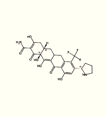 NC(=O)C1=C(O)C[C@@H]2CC3Cc4c(c(O)cc([C@@H]5CCCN5)c4C(F)(F)F)C(=O)C3=C(O)[C@]2(O)C1=O